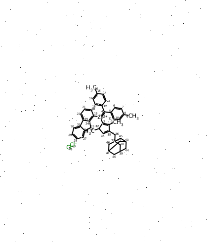 CC1=[C]([Zr+2](=[C](c2ccc(C)cc2)c2ccc(C)cc2)[c]2cccc3c2Cc2ccccc2-3)C(C)C=C1CC12CC3CC(CC(C3)C1)C2.[Cl-].[Cl-]